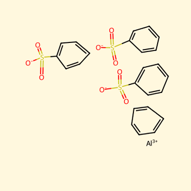 O=S(=O)([O-])c1ccccc1.O=S(=O)([O-])c1ccccc1.O=S(=O)([O-])c1ccccc1.[Al+3].c1ccccc1